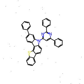 c1ccc(-c2ccc3c4c5sc6ccccc6c5ccc4n(-c4cc(-c5ccccc5)nc(-c5ccccc5)n4)c3c2)cc1